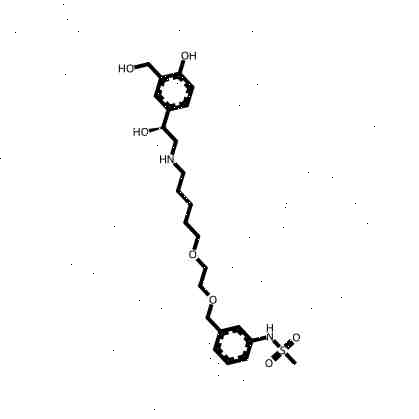 CS(=O)(=O)Nc1cccc(COCCOCCCCCNC[C@@H](O)c2ccc(O)c(CO)c2)c1